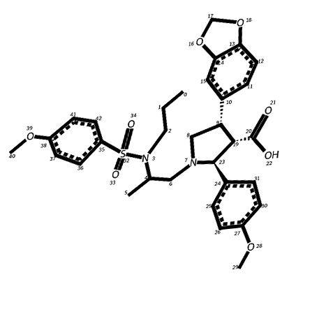 CCCN(C(C)CN1C[C@H](c2ccc3c(c2)OCO3)[C@H](C(=O)O)[C@H]1c1ccc(OC)cc1)S(=O)(=O)c1ccc(OC)cc1